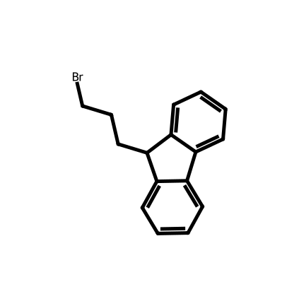 BrCCCC1c2ccccc2-c2ccccc21